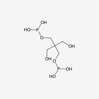 OCC(CO)(COP(O)O)COP(O)O